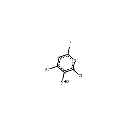 CC(=O)c1cc(I)nc(Cl)c1C=O